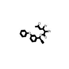 C#CC(OC(=O)C(C(C)C)C(C=C(C)Cl)C(C)C)c1cccc(Oc2ccccc2)c1